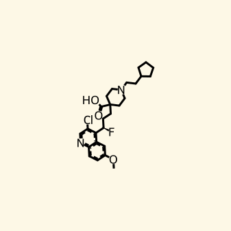 COc1ccc2ncc(Cl)c([C@H](F)CCC3(C(=O)O)CCN(CCC4CCCC4)CC3)c2c1